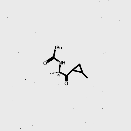 CC1CC1C(=O)[C@H](C)NC(=O)C(C)(C)C